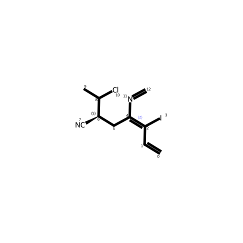 C=C/C(I)=C(\C[C@@H](C#N)C(C)Cl)N=C